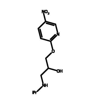 CC(C)NCC(O)COc1ccc([N+](=O)[O-])cn1